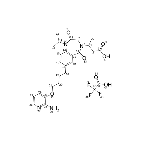 CC(CC(=O)O)N1CC(=O)N(C(C)C)c2ccc(CCCCOc3cccnc3N)cc2C1=O.O=C(O)C(F)(F)F